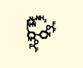 Nc1ncn(Cc2cnc(OC(F)F)c(-c3ccnc(OC(F)F)c3)c2)n1